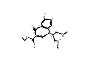 CCOC(=O)c1cn(C(COC)COC)c2ccc(I)cc2c1=O